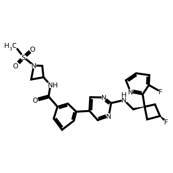 CS(=O)(=O)N1CC(NC(=O)c2cccc(-c3cnc(NC[C@]4(c5ncccc5F)C[C@H](F)C4)nc3)c2)C1